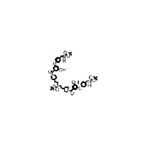 CC(C)(C)OC(=O)NCc1ccc(Oc2cc(O)cc(C(=O)N3CCC(CCN(CCC4CCN(C(=O)c5cc(O)cc(Oc6ccc(CNC(=O)OC(C)(C)C)cc6)c5)CC4)C(=O)OC(C)(C)C)CC3)c2)cc1